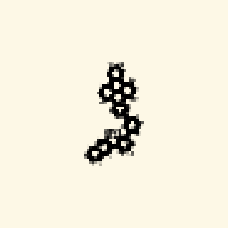 Cc1cc2ccccc2cc1-c1cccc(-c2cccc(-c3ccc4c(c3)C3CCCC5C6CCCCC6C6CCCC4C6C35)c2)c1S